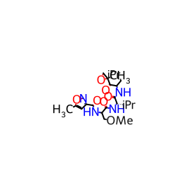 COCC(NC(=O)c1cc(C)on1)C(=O)N[C@H](C(=O)NC(CC(C)C)C(=O)[C@@]1(C)CO1)C(C)C